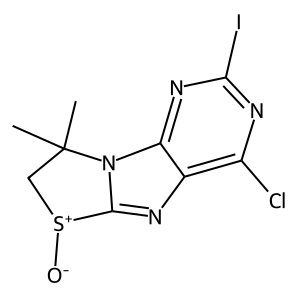 CC1(C)C[S+]([O-])c2nc3c(Cl)nc(I)nc3n21